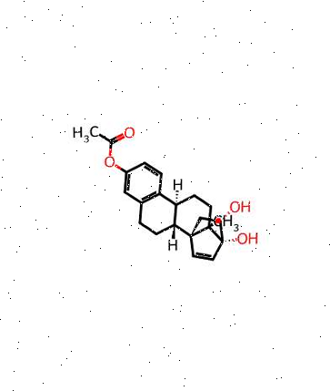 CC(=O)Oc1ccc2c(c1)CC[C@@H]1[C@@H]2CC[C@@]2(C)[C@]13C=C[C@]2(O)[C@@H](O)C3